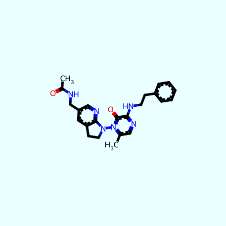 CC(=O)NCc1cnc2c(c1)CCN2n1c(C)cnc(NCCc2ccccc2)c1=O